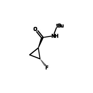 CC(C)(C)NC(=O)[C@@H]1C[C@H]1F